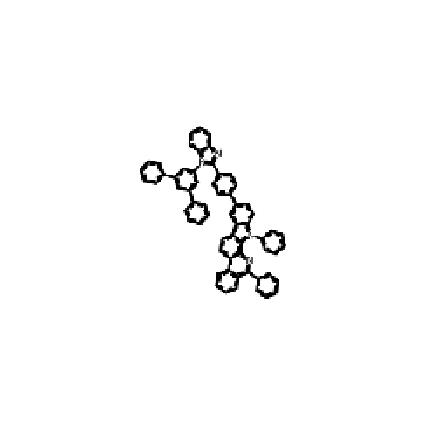 c1ccc(-c2cc(-c3ccccc3)cc(-n3c(-c4ccc(-c5ccc6c(c5)c5ccc7c8ccccc8c(-c8ccccc8)nc7c5n6-c5ccccc5)cc4)nc4ccccc43)c2)cc1